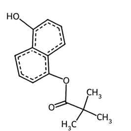 CC(C)(C)C(=O)Oc1cccc2c(O)cccc12